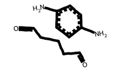 Nc1ccc(N)cc1.O=CCCCC=O